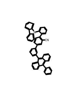 N#Cc1cc(-c2cccc(-c3c4ccccc4c(-c4ccccc4)c4ccccc34)c2)ccc1-c1ccccc1-n1c2ccccc2c2ccccc21